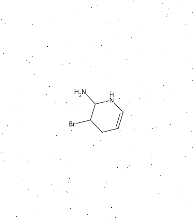 NC1NC=CCC1Br